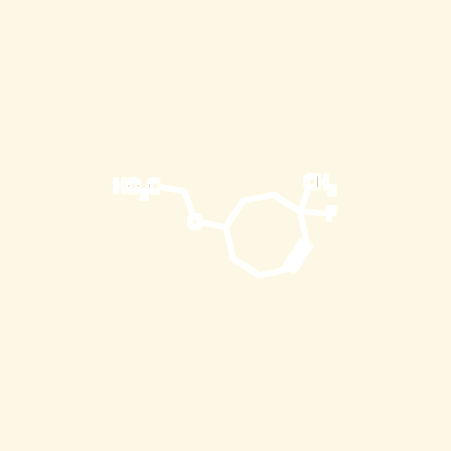 CC1(F)C#CCCC(OCC(=O)O)CC1